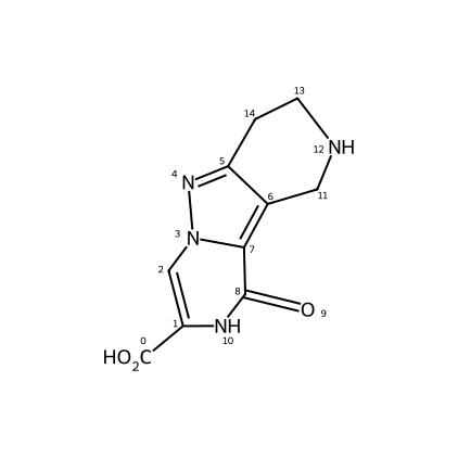 O=C(O)c1cn2nc3c(c2c(=O)[nH]1)CNCC3